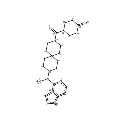 CN(c1ncnc2[nH]ccc12)C1CCC2(CC1)CCN(C(=O)C1CCC(=O)CC1)CC2